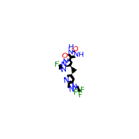 O=c1[nH]cc(-c2cc([C@H]3C[C@@H]3c3cnc4cnn(CC(F)(F)F)c4c3)c3ncc(F)n3n2)c(=O)[nH]1